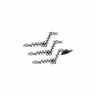 CCCCCCCCCCCCCCCCCC(=O)OC(=O)CCCCCCCCCCCCCCCCC.CCCCCCCCCCCCCCCCCC(=O)OC(=O)CCCCCCCCCCCCCCCCC.CCCCCCCCCCCCCCCCCC(=O)OC(=O)CCCCCCCCCCCCCCCCC.[Zn+2].[Zn+2].[Zn+2].[Zn+2].[Zn+2].[Zn+2]